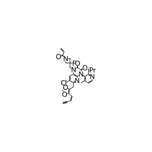 C#C/C=C\C1=C(Cc2nc3c(cc2Cl)n(CC2(F)CN(C(=O)C=C)C2)c(=O)c(=O)n3-c2c(C)ccnc2C(C)C)OCO1